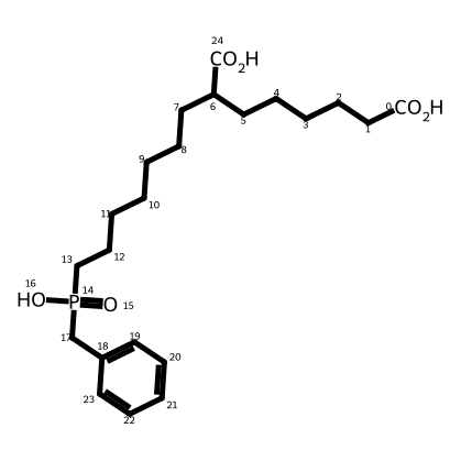 O=C(O)CCCCCC(CCCCCCCP(=O)(O)Cc1ccccc1)C(=O)O